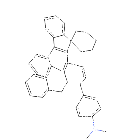 CN(C)c1ccc(C/C=C\c2c3c(c4ccccc4c2CCc2ccccc2)-c2ccccc2C32CCCCC2)cc1